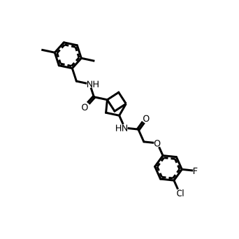 Cc1ccc(C)c(CNC(=O)C23CC(C2)C(NC(=O)COc2ccc(Cl)c(F)c2)C3)c1